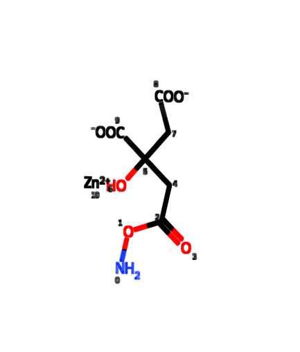 NOC(=O)CC(O)(CC(=O)[O-])C(=O)[O-].[Zn+2]